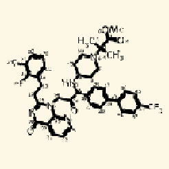 COC(=O)C(C)(C)N1CCC(NC(C(=O)Cn2c(CCc3cccc(F)c3F)nc(=O)c3cccnc32)c2ccc(-c3ccc(C(F)(F)F)cc3)cc2)CC1